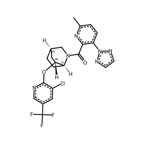 Cc1ccc(-n2nccn2)c(C(=O)N2C[C@@H]3CC[C@H]2[C@H](Oc2ncc(C(F)(F)F)cc2Cl)C3)n1